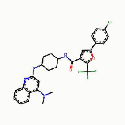 CN(C)c1cc(NC2CCC(NC(=O)c3cc(-c4ccc(Cl)cc4)oc3C(F)(F)F)CC2)nc2ccccc12